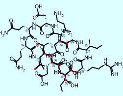 CC[C@H](C)[C@H](N)C(=O)N[C@@H](CC(=O)O)C(=O)N[C@@H](CCC(N)=O)C(=O)N[C@@H](CCC(N)=O)C(=O)N[C@H](C(=O)N[C@@H](CC(C)C)C(=O)N[C@@H](CO)C(=O)N[C@@H](CCCNC(=N)N)C(=O)N[C@H](C(=O)N[C@@H](CCCCN)C(=O)N[C@@H](CC(C)C)C(=O)N[C@@H](CCC(=O)O)C(=O)N[C@H](C(=O)O)[C@@H](C)CC)[C@@H](C)CC)C(C)C